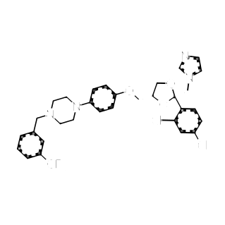 FC(F)(F)c1cccc(CN2CCN(c3ccc(OC[C@@H]4CO[C@@](Cn5ccnc5)(c5ccc(Cl)cc5Cl)O4)cc3)CC2)c1